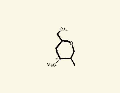 CO[C@@H]1CC(COC(C)=O)OCC1C